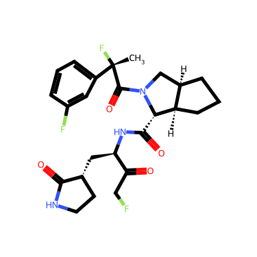 C[C@@](F)(C(=O)N1C[C@H]2CCC[C@H]2[C@@H]1C(=O)N[C@H](C[C@@H]1CCNC1=O)C(=O)CF)c1cccc(F)c1